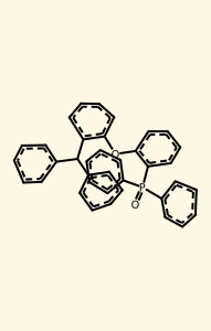 O=P(c1ccccc1)(c1ccccc1)c1ccccc1Oc1ccccc1C(c1ccccc1)c1ccccc1